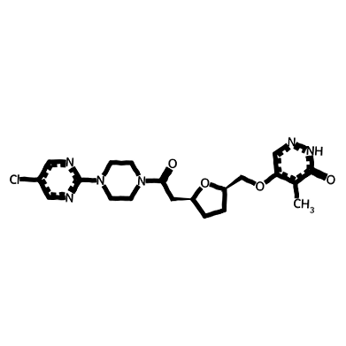 Cc1c(OC[C@H]2CC[C@@H](CC(=O)N3CCN(c4ncc(Cl)cn4)CC3)O2)cn[nH]c1=O